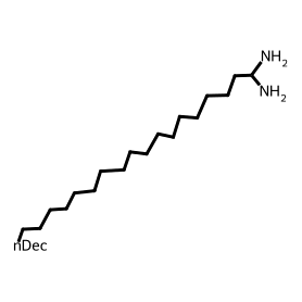 CCCCCCCCCCCCCCCCCCCCCCCCCCCC(N)N